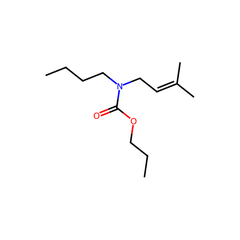 CCCCN(CC=C(C)C)C(=O)OCCC